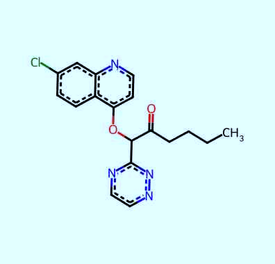 CCCCC(=O)C(Oc1ccnc2cc(Cl)ccc12)c1nccnn1